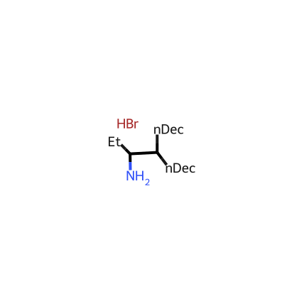 Br.CCCCCCCCCCC(CCCCCCCCCC)C(N)CC